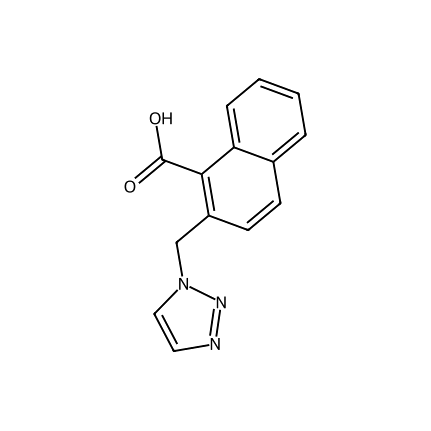 O=C(O)c1c(Cn2ccnn2)ccc2ccccc12